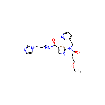 COCCC(=O)N(Cc1cccnc1)c1ncc(C(=O)NCCCn2ccnc2)s1